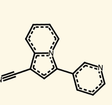 N#Cc1cc(-c2cccnc2)n2ccccc12